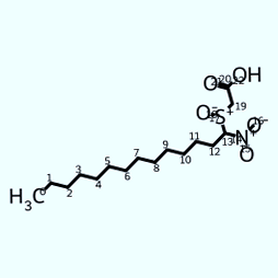 CCCCCCCCCCCCCC([N+](=O)[O-])[S+]([O-])CC(=O)O